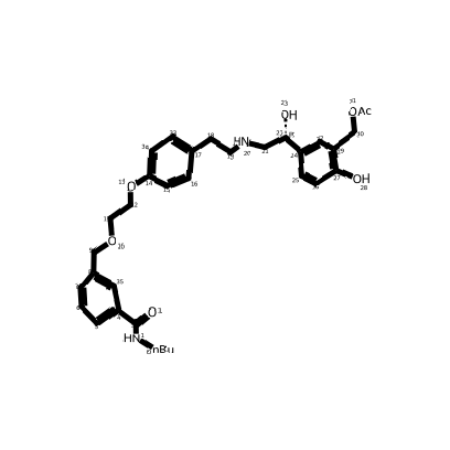 CCCCNC(=O)c1cccc(COCCOc2ccc(CCNC[C@H](O)c3ccc(O)c(COC(C)=O)c3)cc2)c1